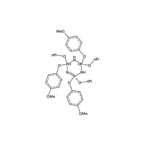 CCCOP1(Oc2ccc(OC)cc2)=N[PH](OCCC)(Oc2ccc(OC)cc2)N[PH](OCCC)(Oc2ccc(OC)cc2)N1